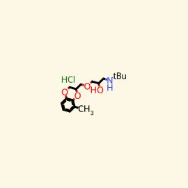 Cc1cccc2c1OC(COCC(O)CNC(C)(C)C)CO2.Cl